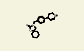 O=C1OC2(CCCCC2)CN1Cc1ccc(C2C=CNCC2)cc1